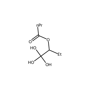 CCCC(=O)OC(CC)C(O)(O)O